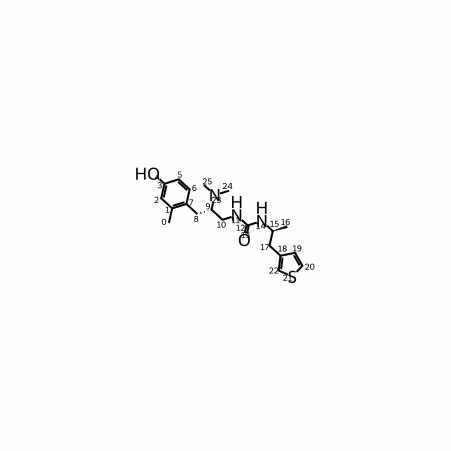 Cc1cc(O)ccc1C[C@@H](CNC(=O)N[C@@H](C)Cc1ccsc1)N(C)C